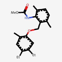 CCc1cc(C)c(OCc2c(C)ccc(C)c2NC(=O)OC)cc1CC